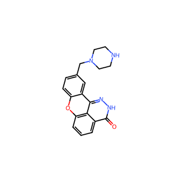 O=c1[nH]nc2c3c(cccc13)Oc1ccc(CN3CCNCC3)cc1-2